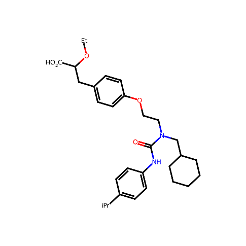 CCOC(Cc1ccc(OCCN(CC2CCCCC2)C(=O)Nc2ccc(C(C)C)cc2)cc1)C(=O)O